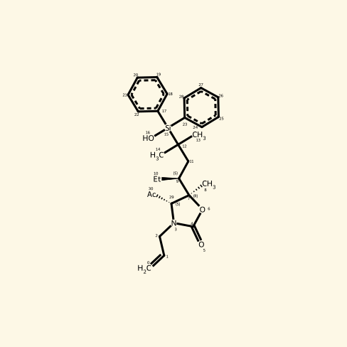 C=CCN1C(=O)O[C@](C)([C@@H](CC)CC(C)(C)[Si](O)(c2ccccc2)c2ccccc2)[C@H]1C(C)=O